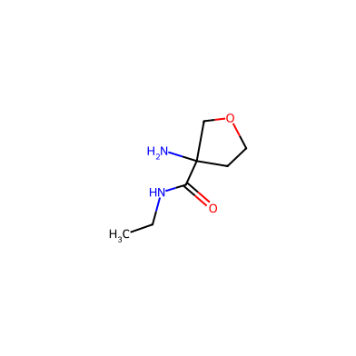 CCNC(=O)C1(N)CCOC1